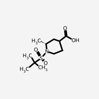 C[C@@H]1CC(C(=O)O)CCN1S(=O)(=O)C(C)(C)C